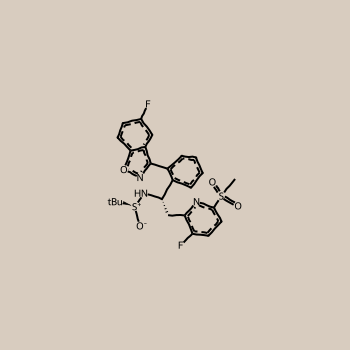 CC(C)(C)[S@+]([O-])N[C@@H](Cc1nc(S(C)(=O)=O)ccc1F)c1ccccc1-c1noc2ccc(F)cc12